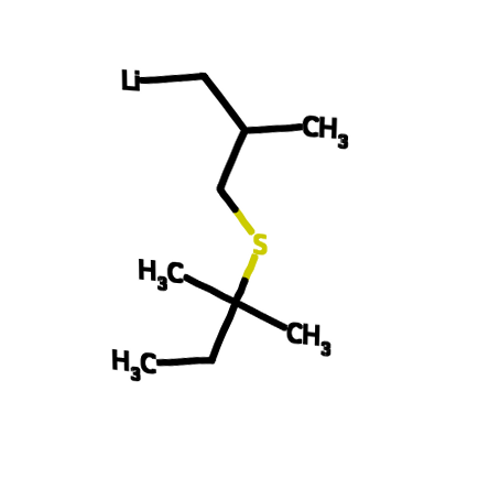 [Li][CH2]C(C)CSC(C)(C)CC